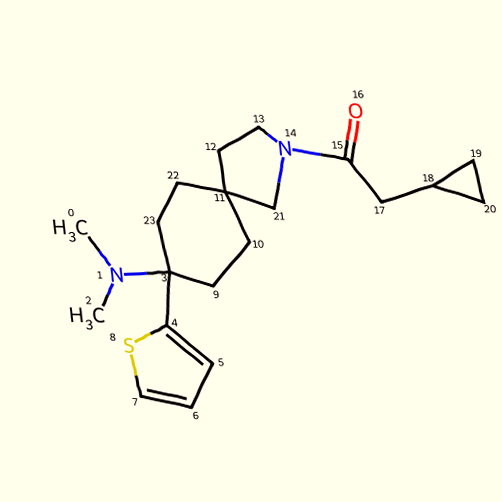 CN(C)C1(c2cccs2)CCC2(CCN(C(=O)CC3CC3)C2)CC1